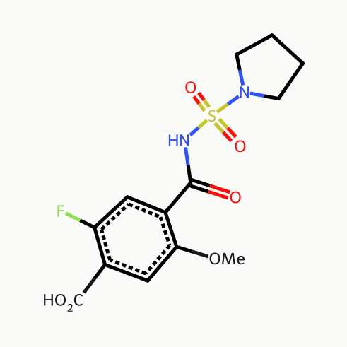 COc1cc(C(=O)O)c(F)cc1C(=O)NS(=O)(=O)N1CCCC1